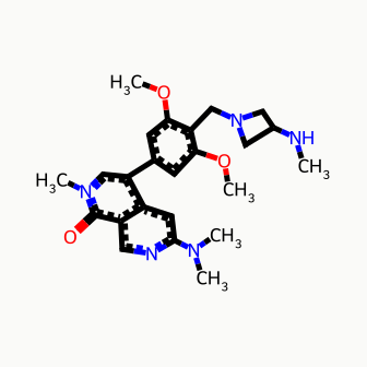 CNC1CN(Cc2c(OC)cc(-c3cn(C)c(=O)c4cnc(N(C)C)cc34)cc2OC)C1